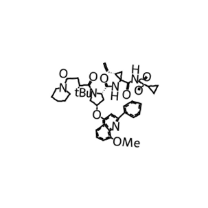 C=C[C@@H]1CC1(NC(=O)[C@@H]1C[C@@H](Oc2cc(-c3ccccc3)nc3c(OC)cccc23)CN1C(=O)[C@@H](CC(=O)N1CCCCC1)C(C)(C)C)C(=O)NS(=O)(=O)C1CC1